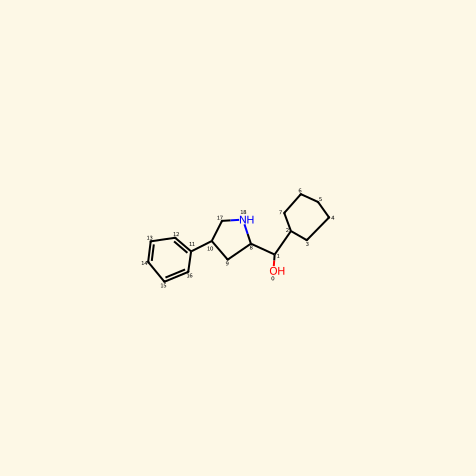 OC(C1CCCCC1)C1CC(c2ccccc2)CN1